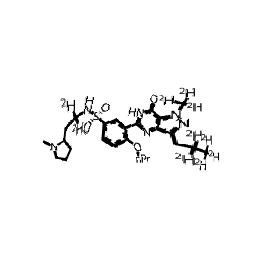 [2H]C([2H])(CC1CCCN1C)NS(=O)(=O)c1ccc(OCCC)c(-c2nc3c(CC([2H])([2H])C([2H])([2H])[2H])nn(C([2H])([2H])[2H])c3c(=O)[nH]2)c1